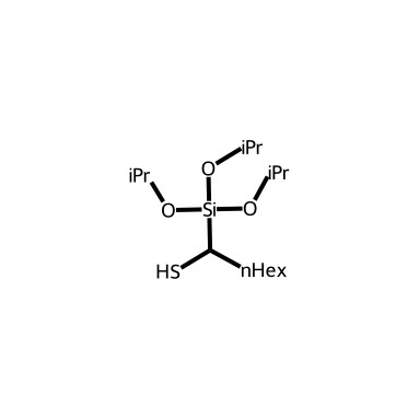 CCCCCCC(S)[Si](OC(C)C)(OC(C)C)OC(C)C